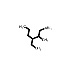 CCCC(CC)C(C)[CH2][AlH2]